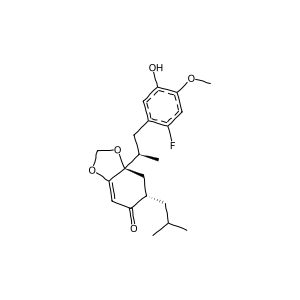 COc1cc(F)c(C[C@@H](C)[C@]23C[C@H](CC(C)C)C(=O)C=C2OCO3)cc1O